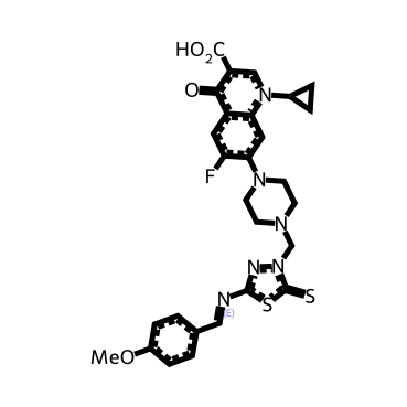 COc1ccc(/C=N/c2nn(CN3CCN(c4cc5c(cc4F)c(=O)c(C(=O)O)cn5C4CC4)CC3)c(=S)s2)cc1